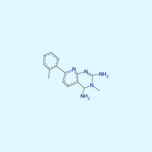 Cc1ccccc1-c1ccc2c(n1)N=C(N)N(C)C2N